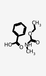 CCOC(=O)NC.O=C(O)c1ccccc1